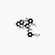 Cc1cccc(C)c1-c1cc(OC2CNCC3CCCN(C)C32)nc(NSc2cccc(C(=O)O)c2)n1